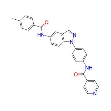 Cc1ccc(C(=O)Nc2ccc3c(cnn3-c3ccc(NC(=O)c4ccncc4)cc3)c2)cc1